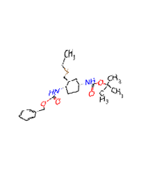 CCSC[C@H]1C[C@H](NC(=O)OC(C)(C)C)CC[C@@H]1NC(=O)OCc1ccccc1